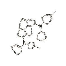 Cc1ccc(N(c2ccccc2)c2ccc3ccc4ccc(N(c5ccccc5)c5ccc(C)cc5)c5ccc2c3c45)cc1